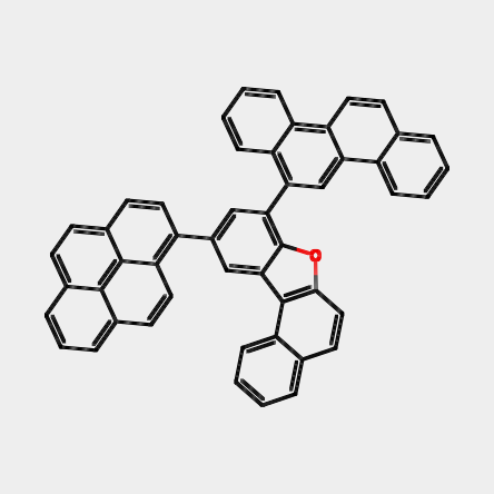 c1ccc2c(c1)ccc1c3ccccc3c(-c3cc(-c4ccc5ccc6cccc7ccc4c5c67)cc4c3oc3ccc5ccccc5c34)cc21